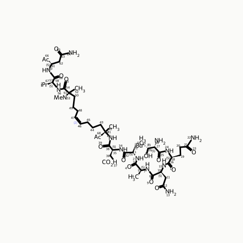 CC[C@H](C)[C@H](NC(=O)[C@H](C)NC(=O)[C@H](CC(N)=O)NC(=O)[C@H](CCC(N)=O)NC(=O)[C@@H](N)[C@@H](C)O)C(=O)N[C@@H](CC(=O)O)C(=O)N[C@@](C)(CCC/C=C\CCC[C@](C)(NC)C(=O)N[C@H](C(=O)N[C@@H](CC(N)=O)C(C)=O)C(C)C)C(C)=O